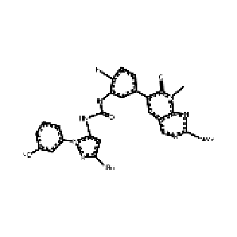 CNc1ncc2cc(-c3ccc(F)c(NC(=O)Nc4cc(C(C)(C)C)nn4-c4cccc(C#N)c4)c3)c(=O)n(C)c2n1